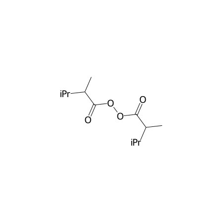 CC(C)C(C)C(=O)OOC(=O)C(C)C(C)C